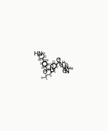 CCCCc1cc2cc(C(=O)N(CC)Cc3nc(C)no3)ccn2c1C(=O)c1ccc(C2CCNCC2)cc1